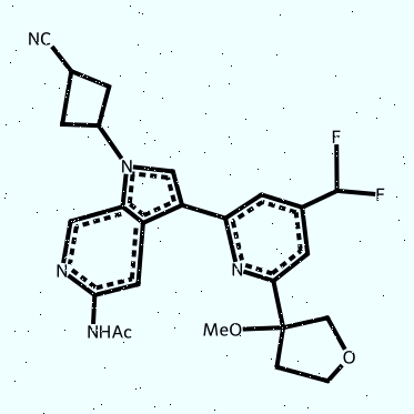 COC1(c2cc(C(F)F)cc(-c3cn(C4CC(C#N)C4)c4cnc(NC(C)=O)cc34)n2)CCOC1